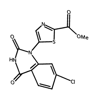 COC(=O)c1ncc(-n2c(=O)[nH]c(=O)c3ccc(Cl)cc32)s1